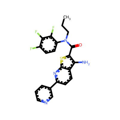 CCCN(C(=O)c1sc2nc(-c3cccnc3)ccc2c1N)c1ccc(F)c(F)c1F